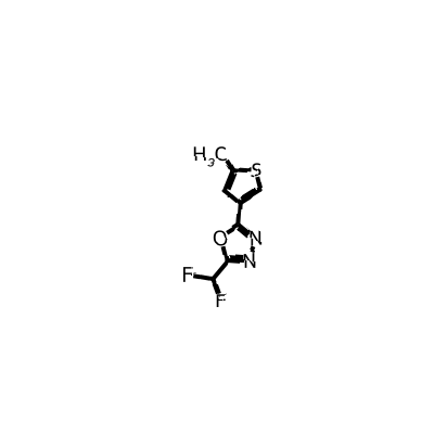 Cc1cc(-c2nnc(C(F)F)o2)cs1